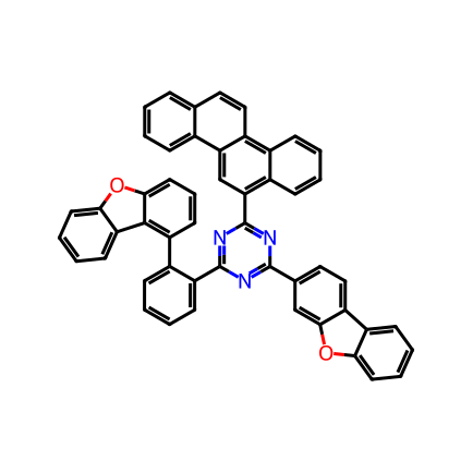 c1ccc(-c2cccc3oc4ccccc4c23)c(-c2nc(-c3ccc4c(c3)oc3ccccc34)nc(-c3cc4c5ccccc5ccc4c4ccccc34)n2)c1